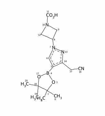 CC1(C)OB(c2cn(C3CN(C(=O)O)C3)nc2CC#N)OC1(C)C